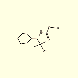 CC(C)(C)OC(=O)N[C@@H](C1CCCCC1)C(C)(C)O